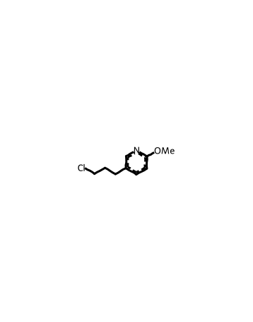 COc1ccc(CCCCl)cn1